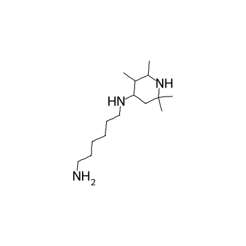 CC1NC(C)(C)CC(NCCCCCCN)C1C